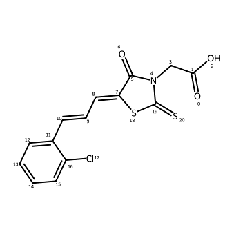 O=C(O)CN1C(=O)C(=CC=Cc2ccccc2Cl)SC1=S